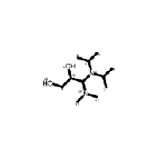 CC(C)N(C(C)C)C(C(O)CO)N(C)C